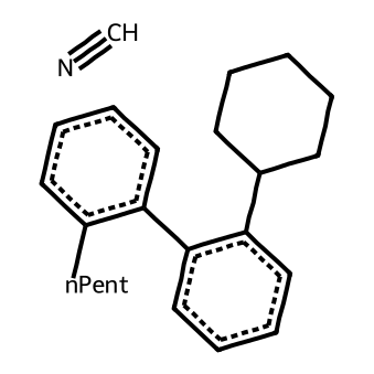 C#N.CCCCCc1ccccc1-c1ccccc1C1CCCCC1